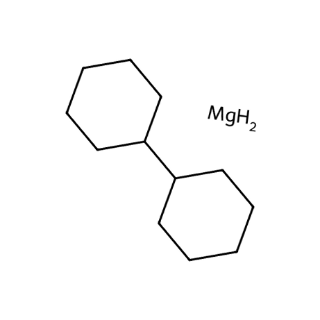 C1CCC(C2CCCCC2)CC1.[MgH2]